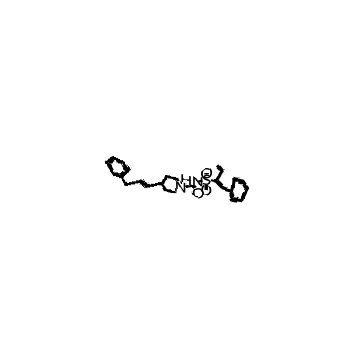 CC/C(=C\c1ccccc1)S(=O)(=O)NC(=O)N1CCC(CCCc2ccccc2)CC1